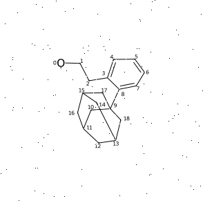 [O]CCc1ccccc1C12CC3CC(CC(C3)C1)C2